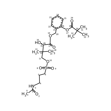 CC(=O)NCCCS(=O)(=O)OCC(C)(C)[C@@H](O)C(=O)OCc1ccccc1OC(=O)C(C)(C)C